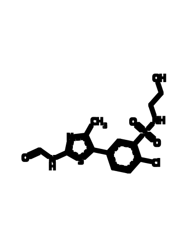 Cc1nc(NC=O)sc1-c1ccc(Cl)c(S(=O)(=O)NCCO)c1